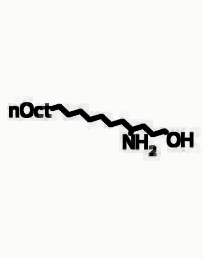 CCCCCCCCCCCCCCCC(N)CCCO